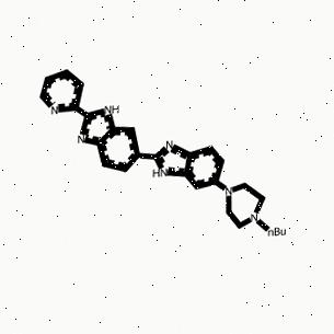 CCCCN1CCN(c2ccc3nc(-c4ccc5nc(-c6ccccn6)[nH]c5c4)[nH]c3c2)CC1